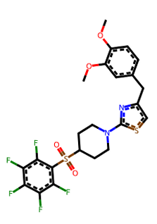 COc1ccc(Cc2csc(N3CCC(S(=O)(=O)c4c(F)c(F)c(F)c(F)c4F)CC3)n2)cc1OC